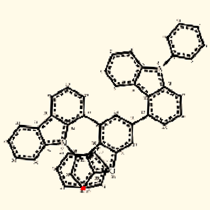 c1ccc(-n2c3ccccc3c3c(-c4cc(-c5cccc6c7ccccc7n(-c7ccccc7)c56)c5c(c4)oc4ccccc45)cccc32)cc1